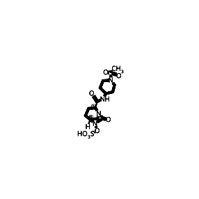 CS(=O)(=O)N1CCC(NC(=O)[C@@H]2CC[C@@H]3CN2C(=O)N3OS(=O)(=O)O)CC1